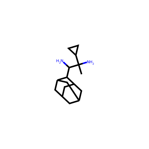 CC(N)(C1CC1)C(N)C1C2CC3CC(C2)CC1C3